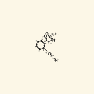 Cc1ccccc1.O=C[O-].[N-]=C=O.[N-]=C=O.[Si+3]